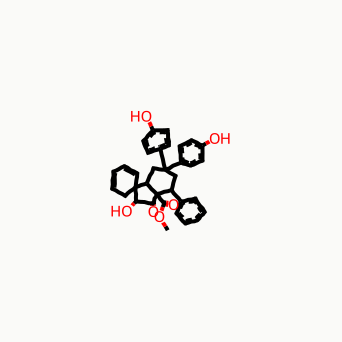 COC(=O)C12C(=O)C(O)C3(C=CC=CC3)C1CC(c1ccc(O)cc1)(c1ccc(O)cc1)CC2c1ccccc1